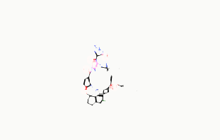 C=CCO[C@@H]1/C=C\C[C@H](C)C[S@@](=O)(NC(=O)c2cn(C)nc2OC)=NC(=O)c2ccc3c(c2)N(C[C@@H]2CC[C@H]21)C[C@@]1(CCCc2cc(Cl)ccc21)CO3